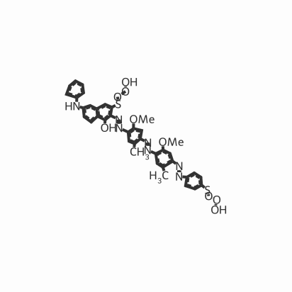 COc1cc(N=Nc2ccc(SOOO)cc2)c(C)cc1N=Nc1cc(OC)c(N=Nc2c(SOOO)cc3cc(Nc4ccccc4)ccc3c2O)cc1C